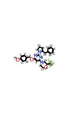 COc1ccc(COc2cc(N3CCOC(C(F)(F)F)C3)nc(N3CCCC3Cc3ccccc3)n2)cc1